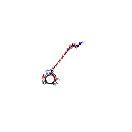 CO[C@H]1C[C@@H]2CC[C@@H](C)[C@@](O)(O2)C(=O)C(=O)N2CCCC[C@H]2C(=O)O[C@H]([C@H](N)C[C@@H]2CC[C@@H](OC(=S)NCCOCCOCCOCCOCCOCCOCCOCCOCCC(=O)NCCS(=O)(=O)c3ccc(C(=O)N4CCOc5ccc(-c6ccc(N)nc6)cc5C4)c(C)c3F)[C@H](OC)C2)C[C@@H](OC)[C@H](C)/C=C(\C)[C@@H](O)[C@@H](O)C(=O)[C@H](C)C[C@H](C)/C=C/C=C/C=C/1C